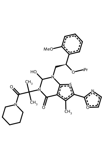 COc1ccccc1[C@H](CN1c2sc(-c3ncco3)c(C)c2C(=O)N(C(C)(C)C(=O)N2CCCCC2)C1O)OC(C)C